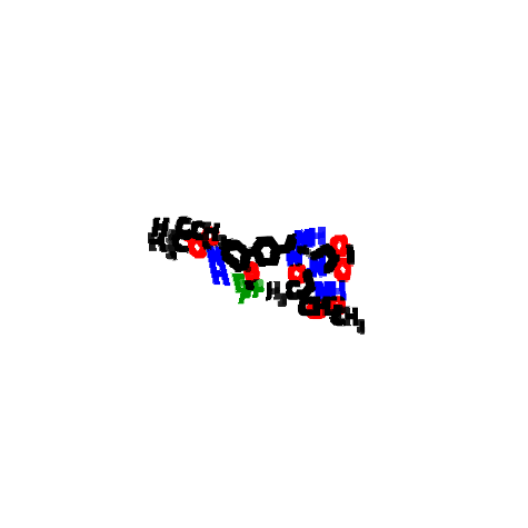 COC(=O)N[C@H](C(=O)N1CC2(C[C@H]1c1nc(-c3ccc(-c4ccc(NC(=O)OC(C)(C)C)cc4OC(F)(F)F)cc3)c[nH]1)OCCO2)C(C)C